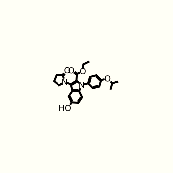 CCOC(=O)c1c(N2CCCC2=O)c2cc(O)ccc2n1-c1ccc(OC(C)C)cc1